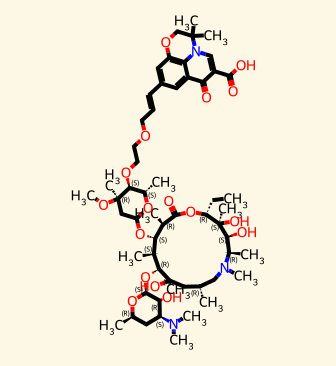 CC[C@H]1OC(=O)[C@H](C)[C@@H](OC2C[C@@](C)(OC)[C@@H](OCCOCC=Cc3cc4c5c(c3)c(=O)c(C(=O)O)cn5C(C)(C)CO4)[C@H](C)O2)[C@H](C)[C@@H](O[C@@H]2O[C@H](C)C[C@H](N(C)C)[C@H]2O)[C@](C)(O)C[C@@H](C)CN(C)[C@H](C)[C@H](O)[C@]1(C)O